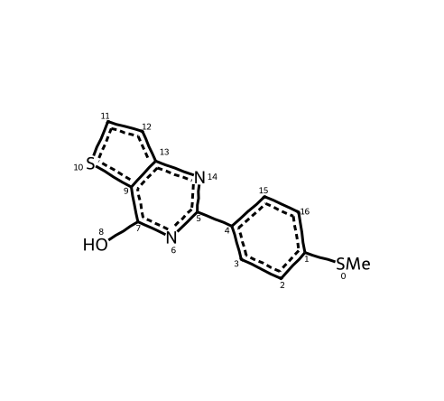 CSc1ccc(-c2nc(O)c3sccc3n2)cc1